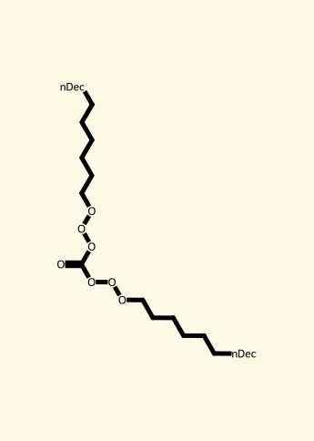 CCCCCCCCCCCCCCCCOOOC(=O)OOOCCCCCCCCCCCCCCCC